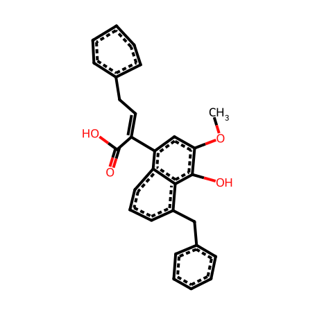 COc1cc(/C(=C/Cc2ccccc2)C(=O)O)c2cccc(Cc3ccccc3)c2c1O